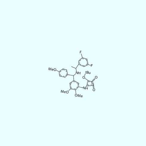 COc1ccc(C(NC(C)c2cc(F)cc(F)c2)c2cc(Nc3c(OC(C)(C)C)c(=O)c3=O)c(OC)c(OC)c2)cc1